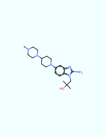 CN1CCN(C2CCN(c3ccc4c(c3)nc(N)n4CC(C)(C)O)CC2)CC1